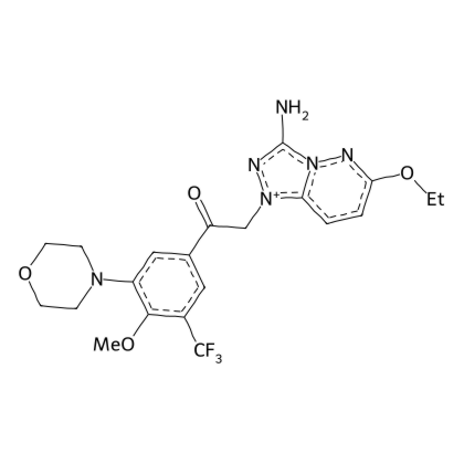 CCOc1ccc2n(n1)c(N)n[n+]2CC(=O)c1cc(N2CCOCC2)c(OC)c(C(F)(F)F)c1